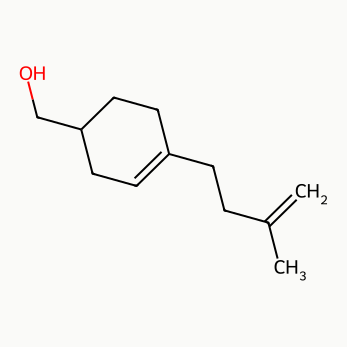 C=C(C)CCC1=CCC(CO)CC1